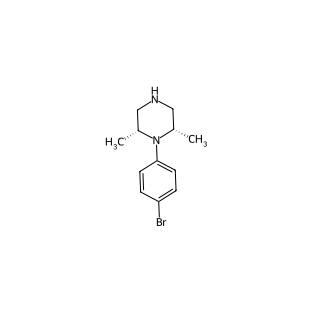 C[C@@H]1CNC[C@H](C)N1c1ccc(Br)cc1